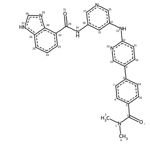 CN(C)C(=O)c1ccc(-c2ccc(Nc3cncc(NC(=O)c4cccc5[nH]cnc45)c3)nc2)cc1